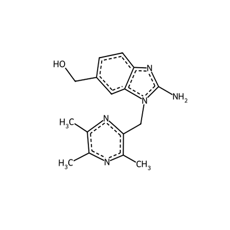 Cc1nc(C)c(Cn2c(N)nc3ccc(CO)cc32)nc1C